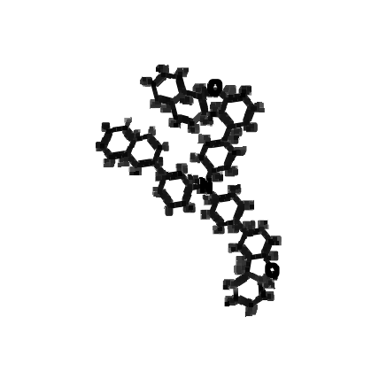 c1cc(-c2ccc3ccccc3c2)cc(N(c2ccc(-c3ccc4oc5ccccc5c4c3)cc2)c2ccc(-c3cccc4oc5c6ccccc6ccc5c34)cc2)c1